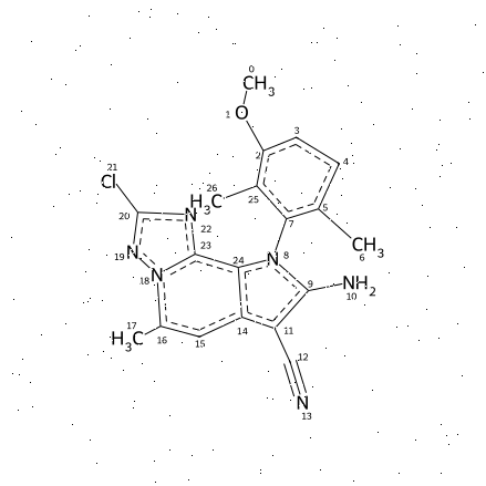 COc1ccc(C)c(-n2c(N)c(C#N)c3cc(C)n4nc(Cl)nc4c32)c1C